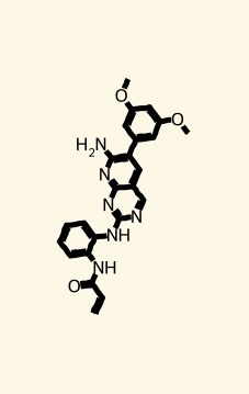 C=CC(=O)Nc1ccccc1Nc1ncc2cc(-c3cc(OC)cc(OC)c3)c(N)nc2n1